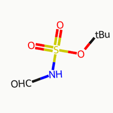 CC(C)(C)OS(=O)(=O)NC=O